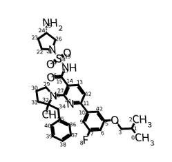 CC(C)COc1cc(F)cc(-c2ccc(C(=O)NS(=O)(=O)N3CC[C@H](N)C3)c(N3CCCC3(C)Cc3ccccc3)n2)c1